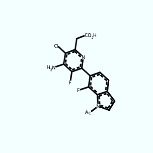 CC(=O)n1ccc2ccc(-c3nc(CC(=O)O)c(Cl)c(N)c3F)c(F)c21